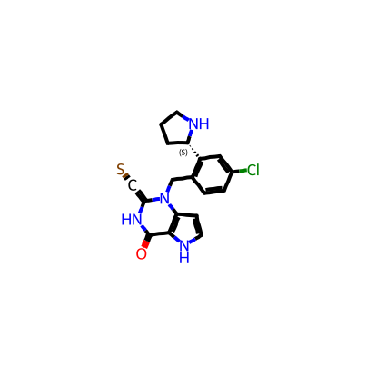 O=C1NC(=C=S)N(Cc2ccc(Cl)cc2[C@@H]2CCCN2)c2cc[nH]c21